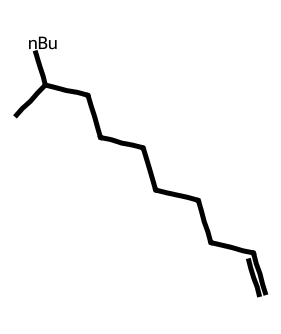 C=CCCCCCCC(C)CCCC